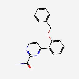 NC(=O)c1n[c]cc(-c2ccccc2OCc2ccccc2)n1